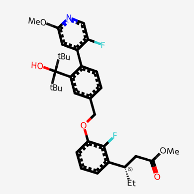 CC[C@@H](CC(=O)OC)c1cccc(OCc2ccc(-c3cc(OC)ncc3F)c(C(O)(C(C)(C)C)C(C)(C)C)c2)c1F